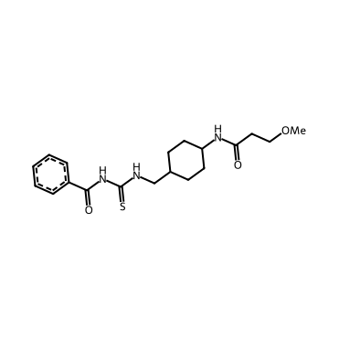 COCCC(=O)NC1CCC(CNC(=S)NC(=O)c2ccccc2)CC1